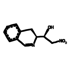 O=[N+]([O-])C[C@H](O)[C@@H]1Cc2ccccc2C=N1